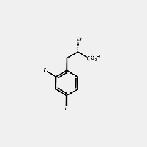 CC[C@@H](Cc1ccc(F)cc1F)C(=O)O